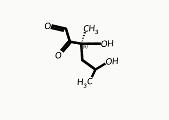 CC(O)C[C@](C)(O)C(=O)C=O